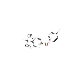 Cc1ccc(Oc2ccc(C(C)(C(F)(F)F)C(F)(F)F)cc2)cc1